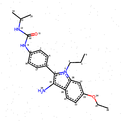 CCCn1c(-c2ccc(NC(=O)NC(C)C)cc2)c(N)c2ccc(OCC)cc21